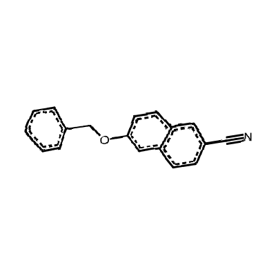 N#Cc1ccc2cc(OCc3ccccc3)ccc2c1